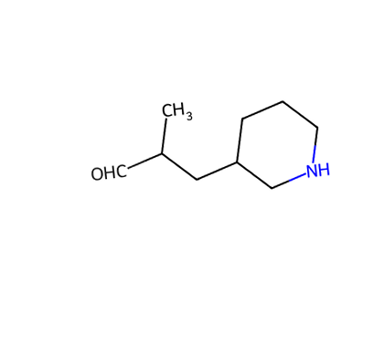 CC(C=O)CC1CCCNC1